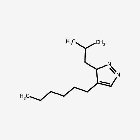 CCCCCCC1=CN=NC1CC(C)C